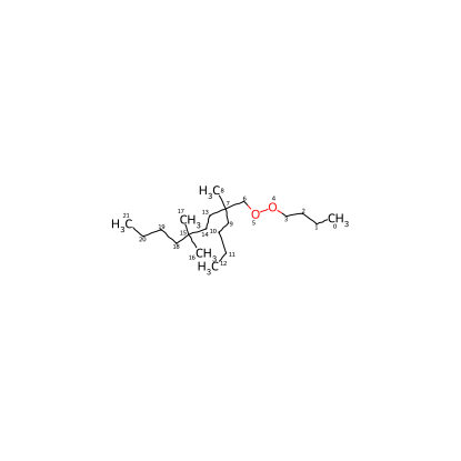 CCCCOOCC(C)(CCCC)CCC(C)(C)CCCC